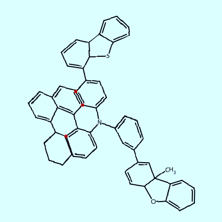 CC12C=C(c3cccc(N(c4ccc(C5=CC=CC6c7ccccc7SC56)cc4)c4ccccc4-c4cccc5cccc(C6CCCCC6)c45)c3)C=CC1Oc1ccccc12